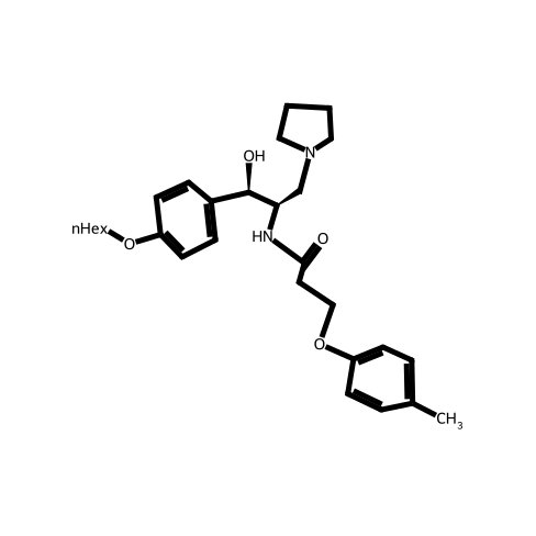 CCCCCCOc1ccc([C@@H](O)[C@@H](CN2CCCC2)NC(=O)CCOc2ccc(C)cc2)cc1